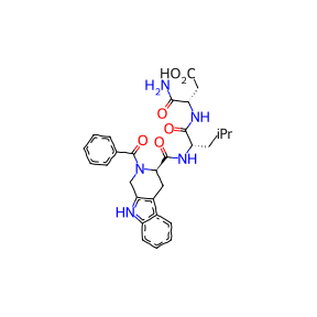 CC(C)C[C@H](NC(=O)[C@H]1Cc2c([nH]c3ccccc23)CN1C(=O)c1ccccc1)C(=O)N[C@@H](CC(=O)O)C(N)=O